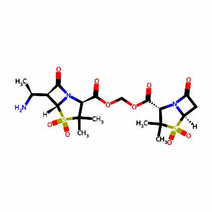 C[C@H](N)[C@H]1C(=O)N2[C@@H](C(=O)OCOC(=O)[C@@H]3N4C(=O)C[C@H]4S(=O)(=O)C3(C)C)C(C)(C)S(=O)(=O)[C@H]12